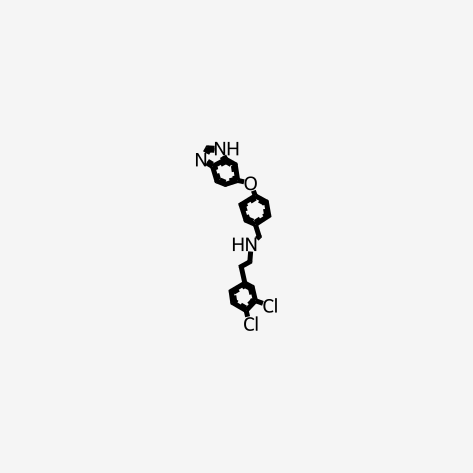 Clc1ccc(CCNCc2ccc(Oc3ccc4nc[nH]c4c3)cc2)cc1Cl